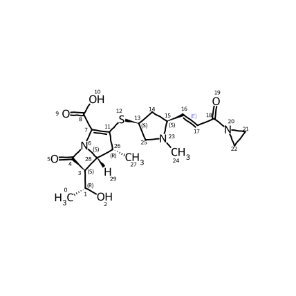 C[C@@H](O)[C@H]1C(=O)N2C(C(=O)O)=C(S[C@H]3C[C@@H](/C=C/C(=O)N4CC4)N(C)C3)[C@H](C)[C@H]12